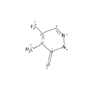 CC1=C(C(F)(F)F)C=N[N]C1=O